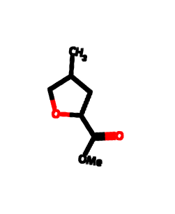 COC(=O)C1CC(C)CO1